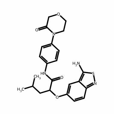 CC(C)CC(Oc1ccc2nsc(N)c2c1)C(=O)Nc1ccc(N2CCOCC2=O)cc1